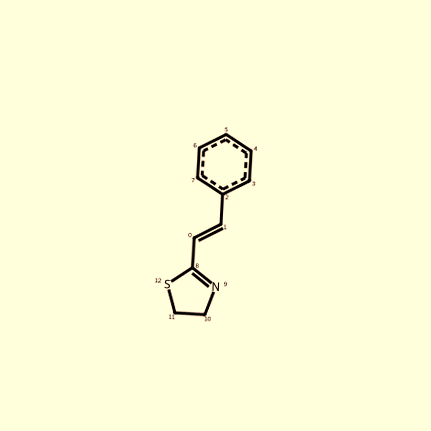 C(=C\c1ccccc1)/C1=NCCS1